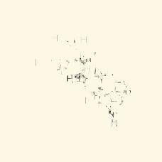 COC(=O)[C@]12CCC(C)(C)C[C@H]1[C@H]1C(=O)C=C3[C@@]4(C)Cc5cnoc5[C@@](C)(C(=O)N=[N+]=[N-])[C@@H]4CC[C@@]3(C)[C@]1(C)CC2